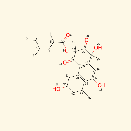 CCC(C)CC(C)C(=O)OC1(C)C(=O)c2c(cc(O)c3c2CC(O)CC3C)C(C)(O)C1=O